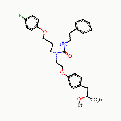 CCOC(Cc1ccc(OCCN(CCCOc2ccc(F)cc2)C(=O)NCCc2ccccc2)cc1)C(=O)O